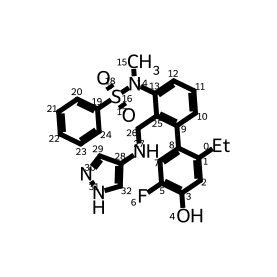 CCc1cc(O)c(F)cc1-c1cccc(N(C)S(=O)(=O)c2ccccc2)c1CNc1cn[nH]c1